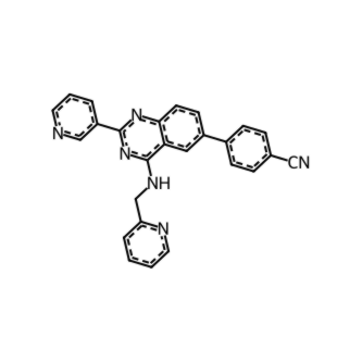 N#Cc1ccc(-c2ccc3nc(-c4cccnc4)nc(NCc4ccccn4)c3c2)cc1